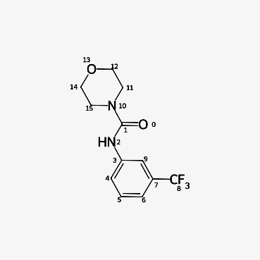 O=C(Nc1cccc(C(F)(F)F)c1)N1CCOCC1